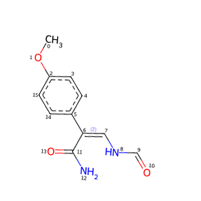 COc1ccc(/C(=C/NC=O)C(N)=O)cc1